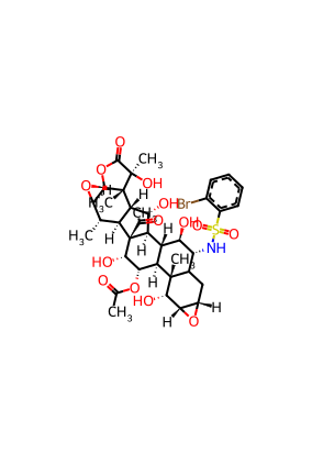 CC(=O)O[C@H]1[C@H]2[C@@H]([C@@H](O)[C@H](NS(=O)(=O)c3ccccc3Br)C3C[C@@H]4O[C@@H]4[C@H](O)[C@@]32C)[C@@H]2[C@@H](O)[C@@H]3[C@H]([C@H](C)[C@H]4O[C@]45OC(=O)[C@@](C)(O)[C@]35C)[C@@]2(C(C)=O)[C@H]1O